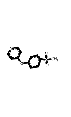 CS(=O)(=O)c1ccc(Oc2ccncc2)cc1